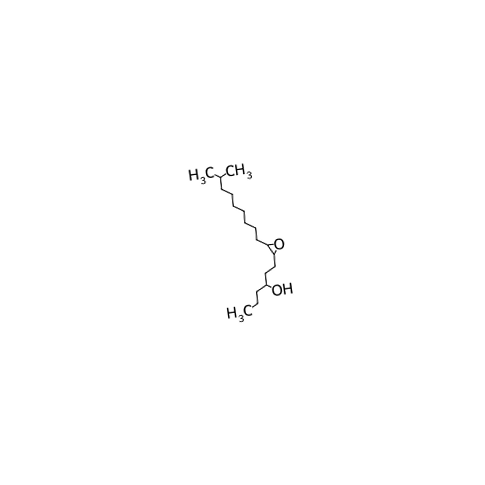 CCCC(O)CCC1OC1CCCCCCCC(C)C